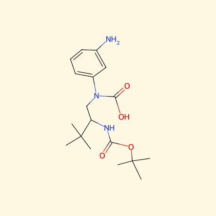 CC(C)(C)OC(=O)NC(CN(C(=O)O)c1cccc(N)c1)C(C)(C)C